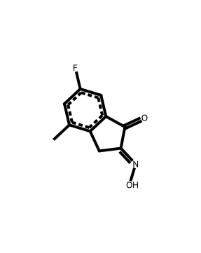 Cc1cc(F)cc2c1C/C(=N\O)C2=O